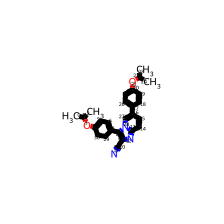 CC(C)OC1=CC=C(c2c(C#N)nc3ccc(-c4ccc(OC(C)C)cc4)cn23)CC1